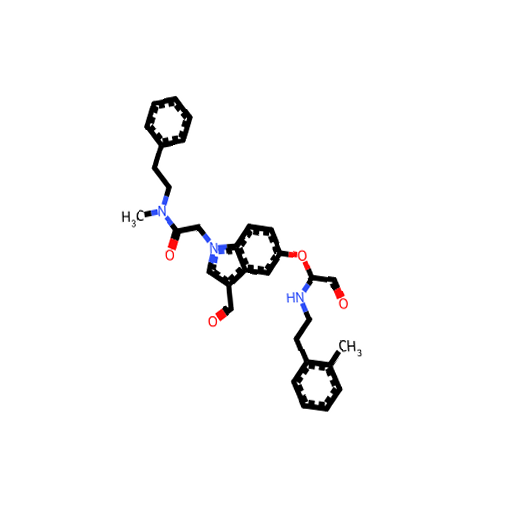 Cc1ccccc1CCNC(C=O)Oc1ccc2c(c1)c(C=O)cn2CC(=O)N(C)CCc1ccccc1